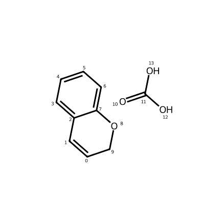 C1=Cc2ccccc2OC1.O=C(O)O